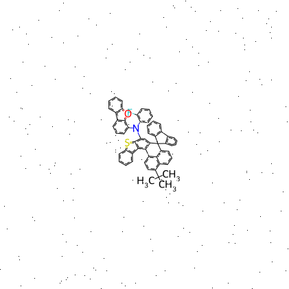 CC(C)(C)c1ccc2c3c(cccc13)C1(c3ccccc3-c3ccccc31)c1cc(N(c3ccccc3F)c3cccc4c3oc3ccccc34)c3sc4ccccc4c3c1-2